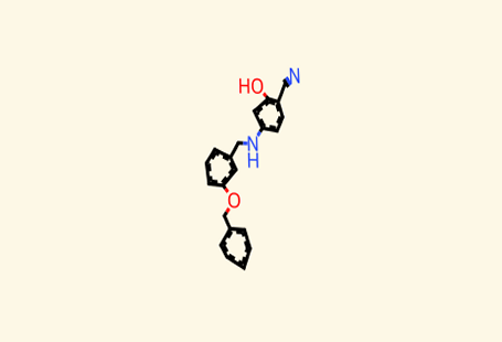 N#Cc1ccc(NCc2cccc(OCc3ccccc3)c2)cc1O